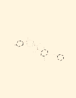 Cc1cc2c(cc1OCc1ccccc1)OCC(N1CCC(O)(c3ccc(F)cc3)CC1)[C@H]2O